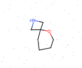 [CH]1NCC12CCCCO2